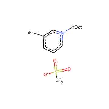 CCCCCCCC[n+]1cccc(CCC)c1.O=S(=O)([O-])C(F)(F)F